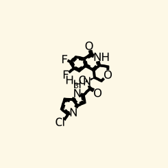 CN(C(=O)c1cc2nc(Cl)ccc2[nH]1)[C@@H]1COCc2[nH]c(=O)c3cc(F)c(F)cc3c21